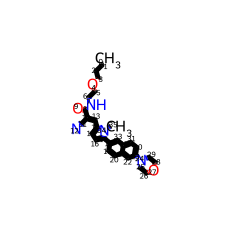 CCCCOCCNC(=O)/C(C#N)=C/c1ccc(-c2ccc3cc(N4CCOCC4)ccc3c2)n1C